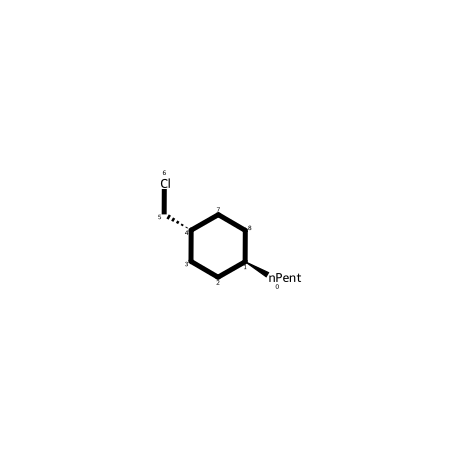 CCCCC[C@H]1CC[C@H](CCl)CC1